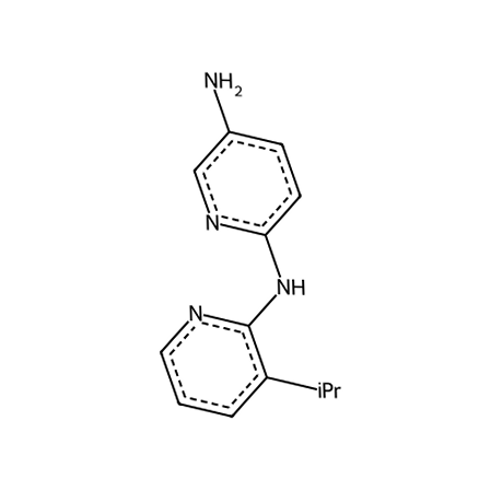 CC(C)c1cccnc1Nc1ccc(N)cn1